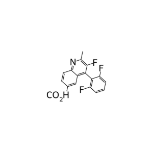 Cc1nc2ccc(C(=O)O)cc2c(-c2c(F)cccc2F)c1F